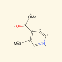 COC(=O)c1ccncc1SC